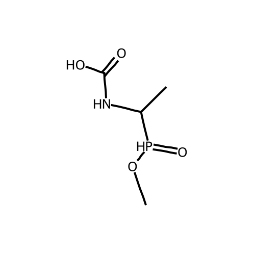 CO[PH](=O)C(C)NC(=O)O